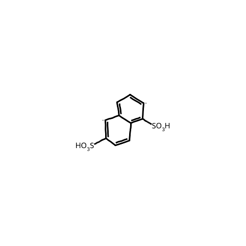 O=S(=O)(O)c1[c]c2cc[c]c(S(=O)(=O)O)c2cc1